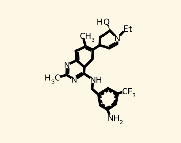 CCN1C=CC(C2=C(C)C=C3N=C(C)N=C(NCc4cc(N)cc(C(F)(F)F)c4)C3C2)C[C@@H]1O